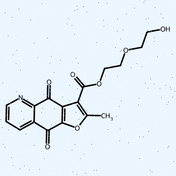 Cc1oc2c(c1C(=O)OCCOCCO)C(=O)c1ncccc1C2=O